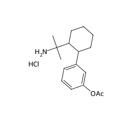 CC(=O)Oc1cccc(C2CCCCC2C(C)(C)N)c1.Cl